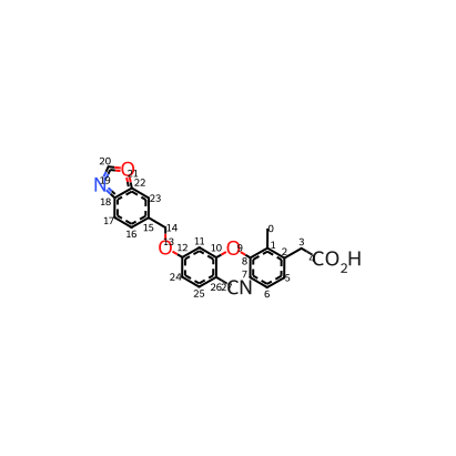 Cc1c(CC(=O)O)cccc1Oc1cc(OCc2ccc3ncoc3c2)ccc1C#N